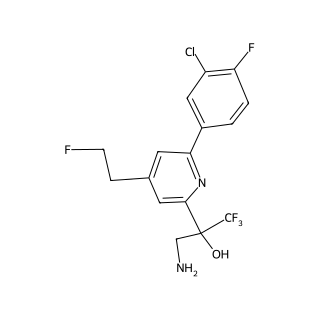 NCC(O)(c1cc(CCF)cc(-c2ccc(F)c(Cl)c2)n1)C(F)(F)F